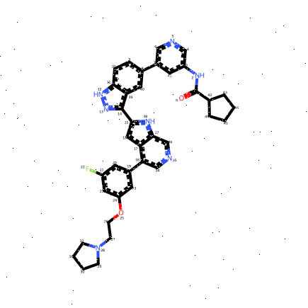 O=C(Nc1cncc(-c2ccc3[nH]nc(-c4cc5c(-c6cc(F)cc(OCCN7CCCC7)c6)cncc5[nH]4)c3c2)c1)C1CCCC1